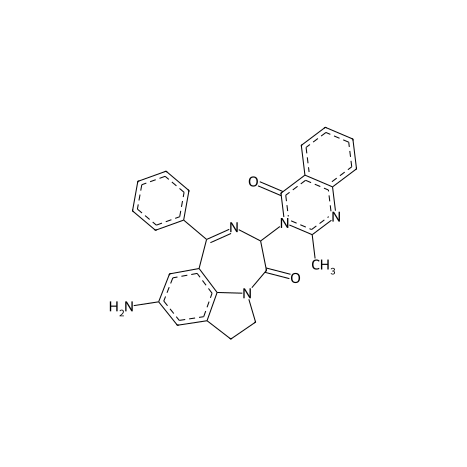 Cc1nc2ccccc2c(=O)n1C1N=C(c2ccccc2)c2cc(N)cc3c2N(CC3)C1=O